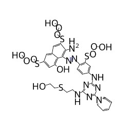 Nc1c(SOOO)cc2cc(SOOO)cc(O)c2c1/N=N/c1ccc(Nc2nc(NCCSCCO)nc(-[n+]3ccccc3)n2)cc1SOOO